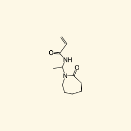 C=CC(=O)NC(C)N1CCCCCC1=O